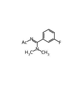 CC(=O)N=C(c1cccc(F)c1)N(C)C